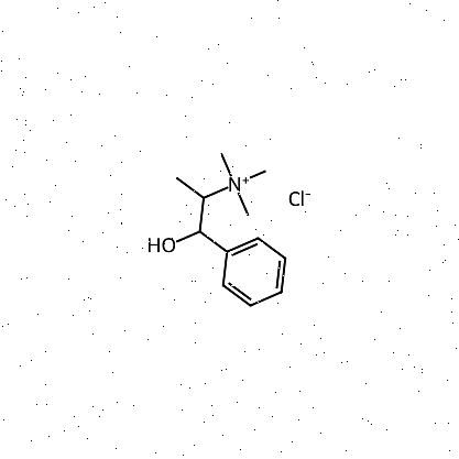 CC(C(O)c1ccccc1)[N+](C)(C)C.[Cl-]